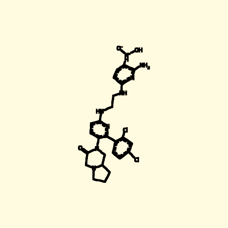 Nc1nc(NCCNc2ccc(N3CC4CCCN4CC3=O)c(-c3ccc(Cl)cc3Cl)n2)ccc1[NH+]([O-])O